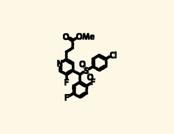 COC(=O)CCc1cc(C(c2cc(F)ccc2F)S(=O)(=O)c2ccc(Cl)cc2)c(F)cn1